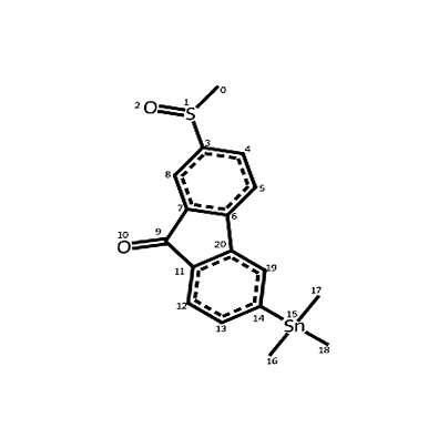 CS(=O)c1ccc2c(c1)C(=O)c1cc[c]([Sn]([CH3])([CH3])[CH3])cc1-2